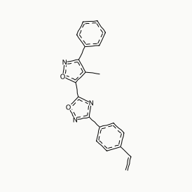 C=Cc1ccc(-c2noc(-c3onc(-c4ccccc4)c3C)n2)cc1